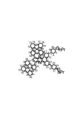 CCCOc1ccc(-c2ccc3c(c2)c2cc(-c4ccc(OCCC)cc4)ccc2c2nc4c(-c5cccc6c5-c5ccccc5C65c6ccccc6-c6ccccc65)sc(-c5cccc6c5-c5ccccc5C65c6ccccc6-c6ccccc65)c4nc32)cc1